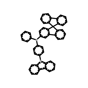 c1ccc(N(c2ccc(-n3c4ccccc4c4ccccc43)cc2)c2ccc3c(c2)-c2ccccc2C32c3ccccc3-c3ccccc32)cc1